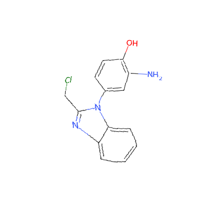 Nc1cc(-n2c(CCl)nc3ccccc32)ccc1O